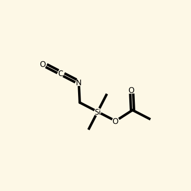 CC(=O)O[Si](C)(C)CN=C=O